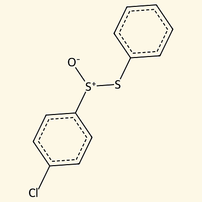 [O-][S+](Sc1ccccc1)c1ccc(Cl)cc1